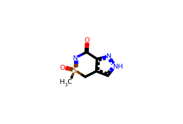 CS1(=O)=NC(=O)c2n[nH]cc2C1